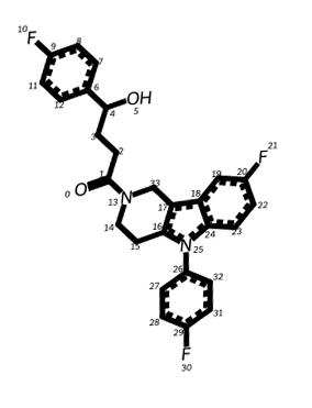 O=C(CCC(O)c1ccc(F)cc1)N1CCc2c(c3cc(F)ccc3n2-c2ccc(F)cc2)C1